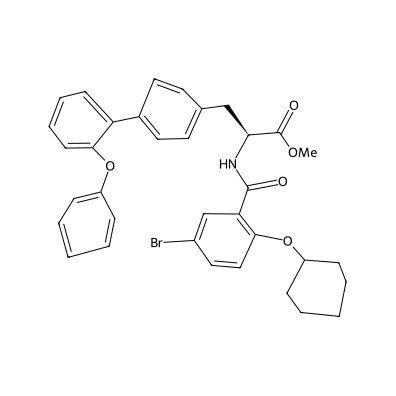 COC(=O)[C@H](Cc1ccc(-c2ccccc2Oc2ccccc2)cc1)NC(=O)c1cc(Br)ccc1OC1CCCCC1